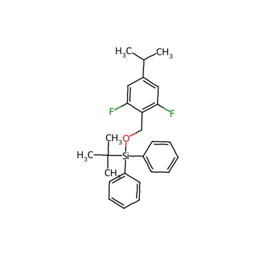 CC(C)c1cc(F)c(CO[Si](c2ccccc2)(c2ccccc2)C(C)(C)C)c(F)c1